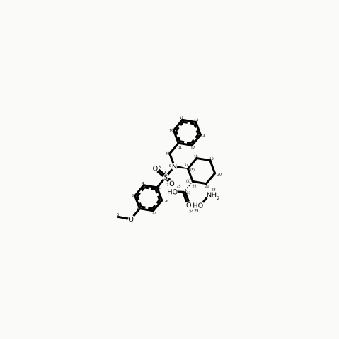 COc1ccc(S(=O)(=O)N(Cc2ccccc2)[C@H]2CCCC[C@@H]2C(=O)O)cc1.NO